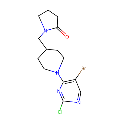 O=C1CCCN1CC1CCN(c2nc(Cl)ncc2Br)CC1